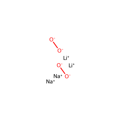 [Li+].[Li+].[Na+].[Na+].[O-][O-].[O-][O-]